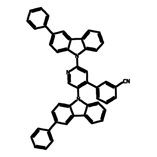 N#Cc1cccc(-c2cc(-n3c4ccccc4c4cc(-c5ccccc5)ccc43)ncc2-n2c3ccccc3c3cc(-c4ccccc4)ccc32)c1